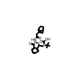 CC(C)(C)N(Cc1nn(NC(=O)CC2CC3CCC2C3)c(=O)c2ccccc12)C(=O)O